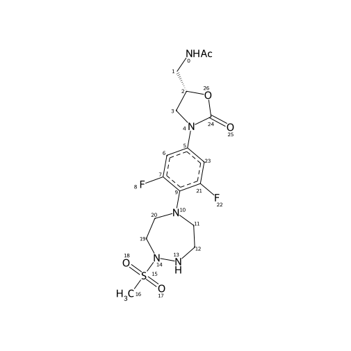 CC(=O)NC[C@H]1CN(c2cc(F)c(N3CCNN(S(C)(=O)=O)CC3)c(F)c2)C(=O)O1